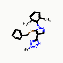 Cc1cccc(C)c1-n1ncc(-c2nnn(C(C)C)n2)c1SCc1ccccc1